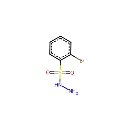 NNS(=O)(=O)c1ccccc1Br